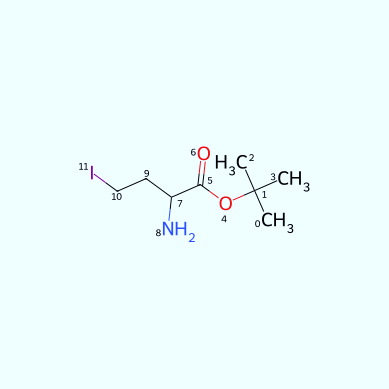 CC(C)(C)OC(=O)C(N)CCI